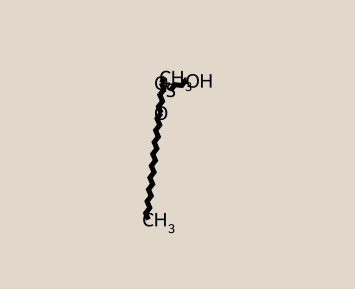 CCCCCCCCCCCCCCCCCCOCCCC(OC)SCCCO